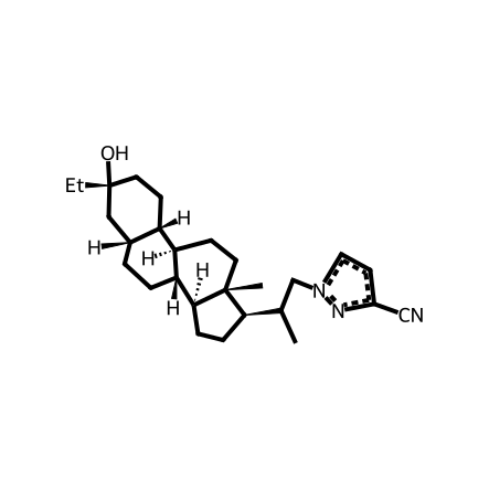 CC[C@@]1(O)CC[C@H]2[C@H](CC[C@@H]3[C@@H]2CC[C@]2(C)[C@@H](C(C)Cn4ccc(C#N)n4)CC[C@@H]32)C1